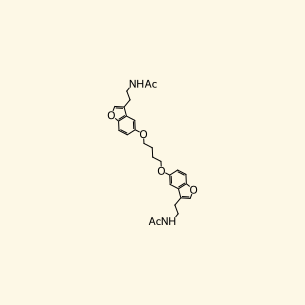 CC(=O)NCCc1coc2ccc(OCCCCOc3ccc4occ(CCNC(C)=O)c4c3)cc12